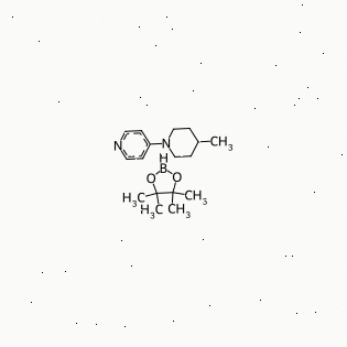 CC1(C)OBOC1(C)C.CC1CCN(c2ccncc2)CC1